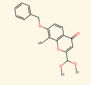 CCCc1c(OCc2ccccc2)ccc2c(=O)cc(C(OCC)OCC)oc12